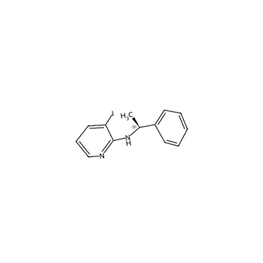 C[C@H](Nc1ncccc1I)c1ccccc1